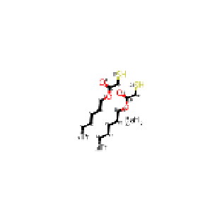 CC(C)CCCCCOC(=O)CS.CC(C)CCCCCOC(=O)CS.[BaH2]